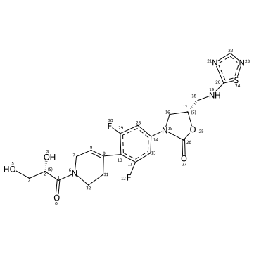 O=C([C@@H](O)CO)N1CC=C(c2c(F)cc(N3C[C@H](CNc4ncns4)OC3=O)cc2F)CC1